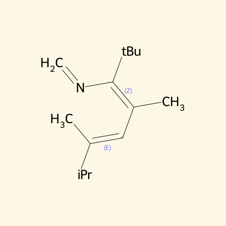 C=N/C(=C(C)\C=C(/C)C(C)C)C(C)(C)C